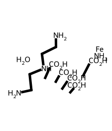 CC(=O)O.CC(=O)O.CC(=O)O.CC(=O)O.CC(=O)O.N.NCCNCCN.O.[Fe]